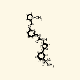 CN1CCCC1COc1cccc(NC(=O)Nc2csc(-c3cccc(S(N)(=O)=O)c3)n2)n1